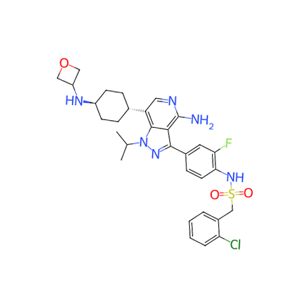 CC(C)n1nc(-c2ccc(NS(=O)(=O)Cc3ccccc3Cl)c(F)c2)c2c(N)ncc([C@H]3CC[C@H](NC4COC4)CC3)c21